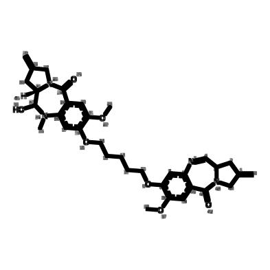 C=C1CC2C=Nc3cc(OCCCCCOc4cc5c(cc4OC)C(=O)N4CC(=C)C[C@H]4C(O)N5C)c(OC)cc3C(=O)N2C1